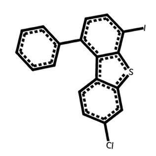 Clc1ccc2c(c1)sc1c(I)ccc(-c3ccccc3)c12